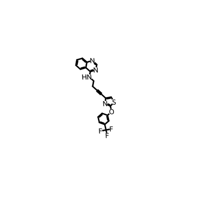 FC(F)(F)c1cccc(Oc2nc(C#CCCNc3ncnc4ccccc34)cs2)c1